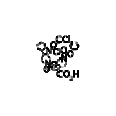 O=C(O)C(CS(=O)(=O)N1CCc2c(n(C(=O)OCC(Cl)(Cl)Cl)c3ccccc23)C1)C1CCN(C(=O)OCc2ccccc2)CC1